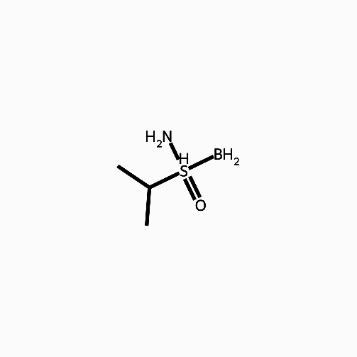 B[SH](N)(=O)C(C)C